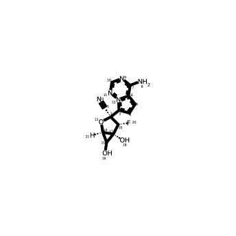 N#C[C@@]1(c2ccc3c(N)ncnn23)O[C@@H]2C(O)[C@]2(O)[C@H]1F